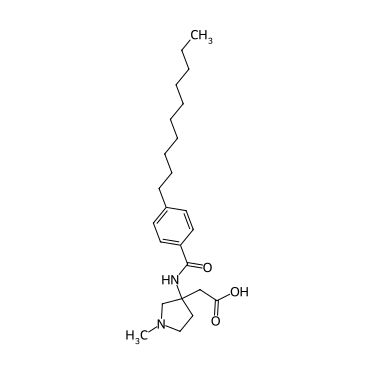 CCCCCCCCCCc1ccc(C(=O)NC2(CC(=O)O)CCN(C)C2)cc1